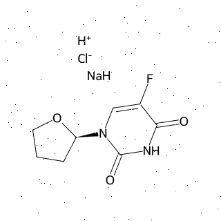 O=c1[nH]c(=O)n([C@H]2CCCO2)cc1F.[Cl-].[H+].[NaH]